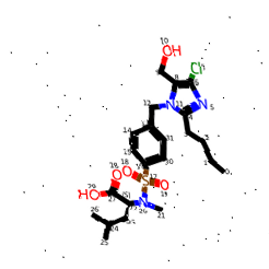 CCCCc1nc(Cl)c(CO)n1Cc1ccc(S(=O)(=O)N(C)[C@@H](CC(C)C)C(=O)O)cc1